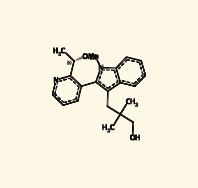 CCn1c(-c2cccnc2[C@H](C)OC)c(CC(C)(C)CO)c2ccccc21